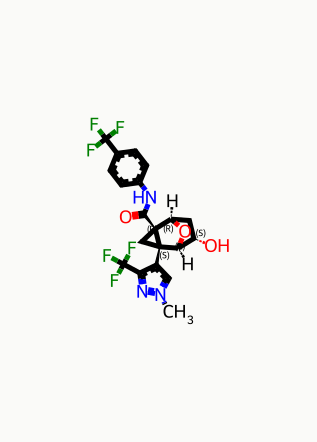 Cn1cc([C@@]23C[C@]2(C(=O)Nc2ccc(C(F)(F)F)cc2)[C@H]2C[C@H](O)[C@@H]3O2)c(C(F)(F)F)n1